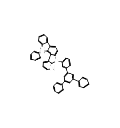 c1ccc(-c2cc(-c3ccccc3)cc(-c3cccc(-n4c5ccc6c7ccccc7n(-c7ccccc7)c6c5c5cccnc54)c3)c2)cc1